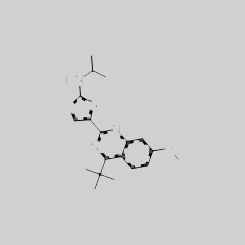 COc1ccc2c(C(C)(C)C)nc(-c3csc(NC(C)C)n3)nc2c1